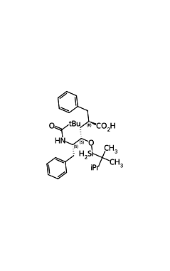 CC(C)C(C)(C)[SiH2]O[C@@H](C[C@@H](Cc1ccccc1)C(=O)O)[C@H](Cc1ccccc1)NC(=O)C(C)(C)C